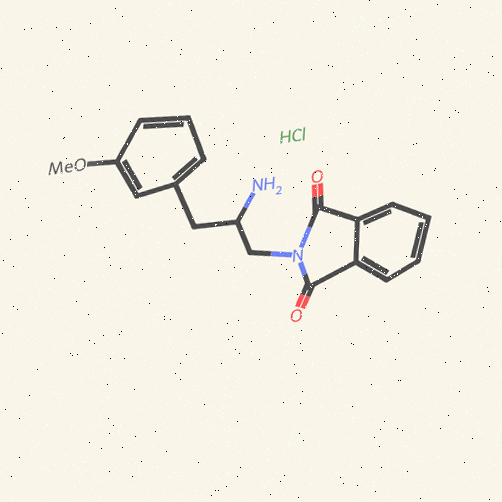 COc1cccc(CC(N)CN2C(=O)c3ccccc3C2=O)c1.Cl